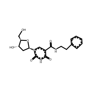 O=C(NCCc1ccccc1)c1cn([C@H]2C[C@H](O)[C@@H](CO)O2)c(=O)[nH]c1=O